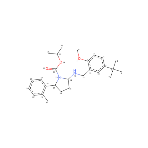 COc1ccc(C(C)(C)C)cc1CNC1CCC(c2ccccc2C)N1C(=O)OC(C)C